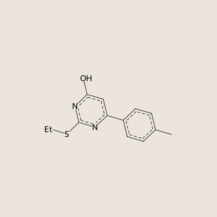 CCSc1nc(O)cc(-c2ccc(C)cc2)n1